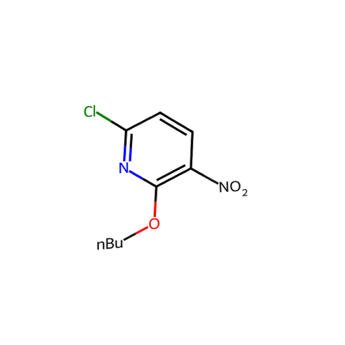 CCCCOc1nc(Cl)ccc1[N+](=O)[O-]